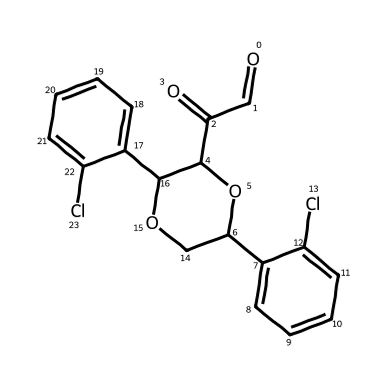 O=CC(=O)C1OC(c2ccccc2Cl)COC1c1ccccc1Cl